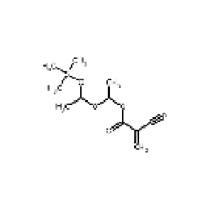 C=C(C#N)C(=O)OC(C)OC(C)O[Si](C)(C)C